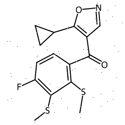 CSc1c(F)ccc(C(=O)c2cnoc2C2CC2)c1SC